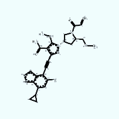 C=CC(=O)N1C[C@@H](n2nc(C#Cc3c(Cl)cc(C4CC4)c4[nH]ncc34)c(C(N)=O)c2NC)C[C@@H]1COC